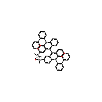 C[Si](C)(C)c1ccc2c(-c3ccccc3-c3ccccc3)c3ccccc3c(-c3c4ccccc4c(-c4ccccc4-c4ccccc4)c4ccc([Si](C)(C)C)cc34)c2c1